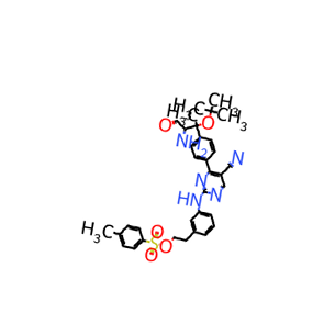 Cc1ccc(S(=O)(=O)OCCc2cccc(Nc3ncc(C#N)c(-c4ccc(C(C)(OC(C)(C)C)C(N)C=O)cc4)n3)c2)cc1